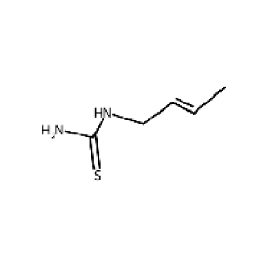 C/C=C/CNC(N)=S